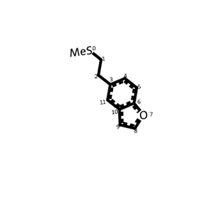 CSCCc1ccc2occc2c1